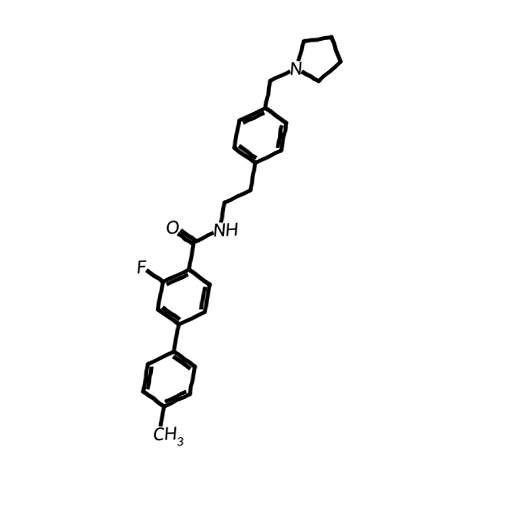 Cc1ccc(-c2ccc(C(=O)NCCc3ccc(CN4CCCC4)cc3)c(F)c2)cc1